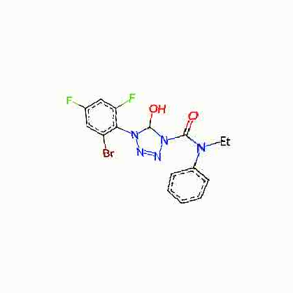 CCN(C(=O)N1N=NN(c2c(F)cc(F)cc2Br)C1O)c1ccccc1